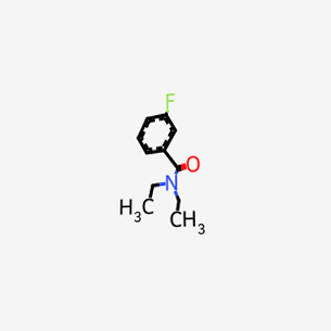 CCN(CC)C(=O)c1cccc(F)c1